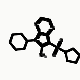 Nc1c(S(=O)(=O)N2CCCC2)c2nccnc2n1C1CCCCC1